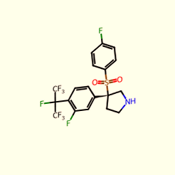 O=S(=O)(c1ccc(F)cc1)[C@@]1(c2ccc(C(F)(C(F)(F)F)C(F)(F)F)c(F)c2)CCNC1